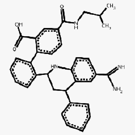 CC(C)CNC(=O)c1ccc(-c2ccccc2C2CC(c3ccccc3)c3cc(C(=N)N)ccc3N2)c(C(=O)O)c1